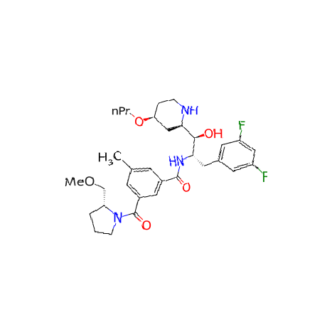 CCCO[C@H]1CCN[C@@H]([C@@H](O)[C@H](Cc2cc(F)cc(F)c2)NC(=O)c2cc(C)cc(C(=O)N3CCC[C@@H]3COC)c2)C1